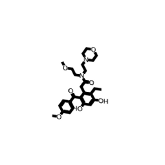 CCc1c(O)cc(O)c(C(=O)c2ccc(OC)cc2)c1CC(=O)N(CCOC)CCN1CCOCC1